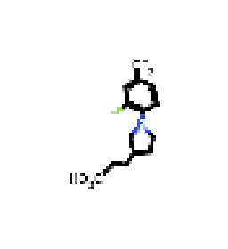 O=C(O)CCC1CCN(c2ccc(C(F)(F)F)cc2F)C1